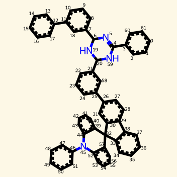 c1ccc(C2=NC(c3cccc(-c4ccccc4)c3)NC(c3cccc(-c4ccc5c(c4)C4(c6ccccc6-5)c5ccccc5N(c5ccccc5)c5ccccc54)c3)N2)cc1